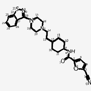 N#Cc1ccc(C(=O)NC2CCC(CCN3CCN(c4nsc5ccccc45)CC3)CC2)o1